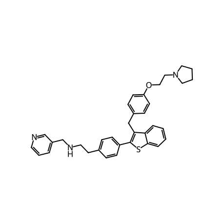 c1cncc(CNCCc2ccc(-c3sc4ccccc4c3Cc3ccc(OCCN4CCCC4)cc3)cc2)c1